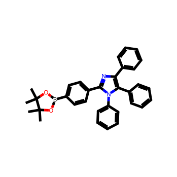 CC1(C)OB(c2ccc(-c3nc(-c4ccccc4)c(-c4ccccc4)n3-c3ccccc3)cc2)OC1(C)C